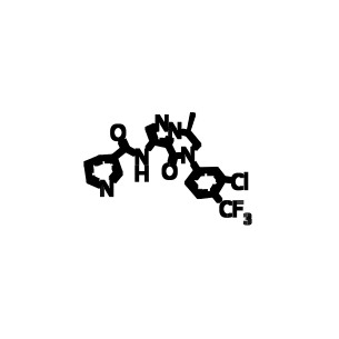 C[C@H]1CN(c2ccc(C(F)(F)F)c(Cl)c2)C(=O)c2c(NC(=O)c3cccnc3)cnn21